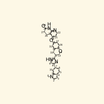 Cn1ccc2ccc(-c3c[nH]c(C4COc5ccc(Oc6ccnc7c6CCC(=O)N7)cc5C4)n3)cc21